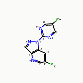 Fc1cnc(-n2ncc3ncc(F)cc32)nc1